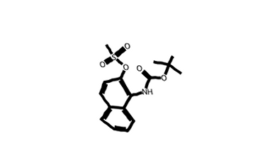 CC(C)(C)OC(=O)Nc1c(OS(C)(=O)=O)ccc2ccccc12